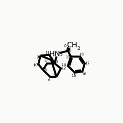 C=C(NC12CC3CC(CC(C3)C1)C2)c1ccccc1